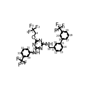 FC(F)(F)COc1nc(NCc2cccc(-c3cccc(C(F)(F)F)c3)c2)nc(Nc2cccc(C(F)(F)F)c2)n1